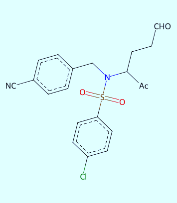 CC(=O)C(CCC=O)N(Cc1ccc(C#N)cc1)S(=O)(=O)c1ccc(Cl)cc1